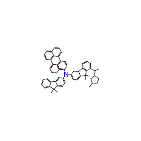 CC1CCC(C(C)c2cccc3c2C(C)(C)c2ccc(N(c4ccc(-c5cccc6cccc(-c7ccccc7)c56)cc4)c4ccc5c(c4)-c4ccccc4C5(C)C)cc2-3)C1